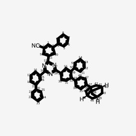 N#Cc1cc(-c2ccccc2)cc(-c2nc(-c3cccc(-c4ccccc4)c3)nc(-c3ccc(-c4ccc(C56C[C@H]7C[C@@H](C5)C[C@@H](C6)C7)cc4)c(-c4ccccc4)c3)n2)c1